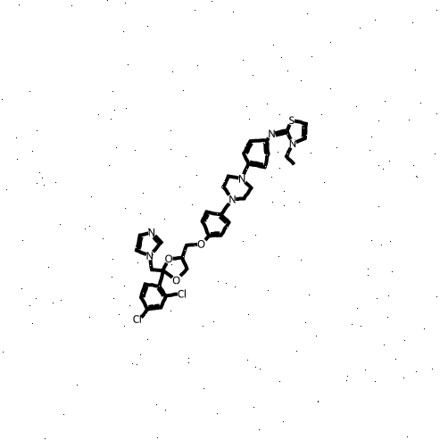 CCn1ccsc1=Nc1ccc(N2CCN(c3ccc(OCC4COC(Cn5ccnc5)(c5ccc(Cl)cc5Cl)O4)cc3)CC2)cc1